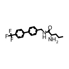 CCC[C@H](N)C(=O)NCc1ccc(-c2ccc(C(F)(F)F)cc2)cc1